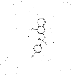 Cc1ccc(S(=O)(=O)Oc2cc3ccccc3c(C)n2)cc1